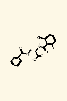 O=C(NC[C@H](NC(=O)c1c(F)cccc1Cl)C(=O)O)c1ccccc1